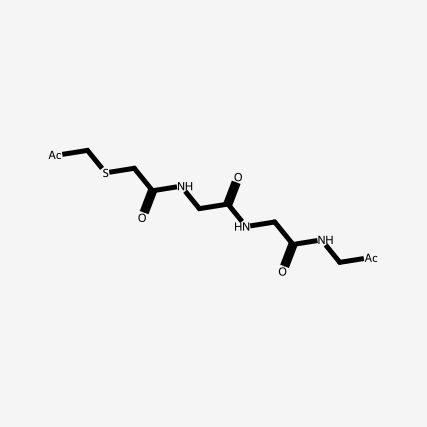 CC(=O)CNC(=O)CNC(=O)CNC(=O)CSCC(C)=O